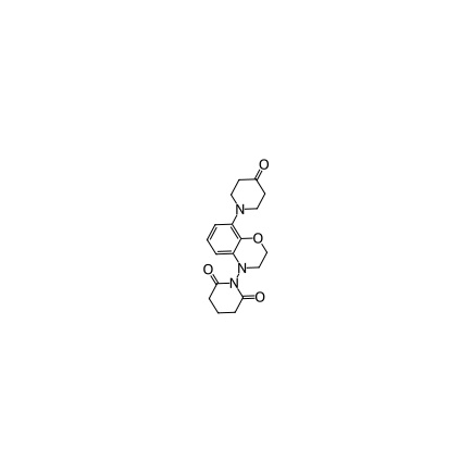 O=C1CCN(c2cccc3c2OCCN3N2C(=O)CCCC2=O)CC1